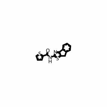 O=C(Nc1nc2c(s1)Cc1ccccc1-2)c1cccs1